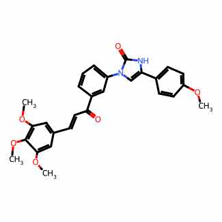 COc1ccc(-c2cn(-c3cccc(C(=O)/C=C/c4cc(OC)c(OC)c(OC)c4)c3)c(=O)[nH]2)cc1